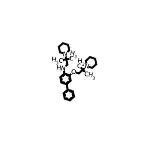 CC(C)(CNc1ccc(-c2ccccc2)cc1OCC(C)(C)N1CCCCC1)N1CCCCC1